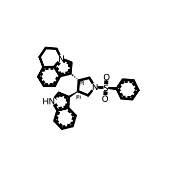 O=S(=O)(c1ccccc1)N1C[C@@H](c2c[nH]c3ccccc23)[C@H](c2cn3c4c(cccc24)CCC3)C1